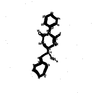 Cc1nc(N(N)Cc2ccccc2)nc(=O)n1-c1ccccc1